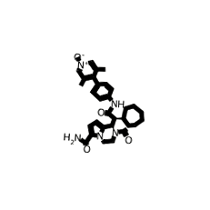 CC(=O)N1CCn2c(C(N)=O)ccc2[C@@H]1[C@@H](C(=O)Nc1ccc(-c2c(C)c[n+]([O-])cc2C)cc1)C1CCCCCC1